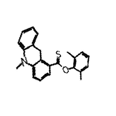 Cc1cccc(C)c1OC(=S)c1cccc2c1Cc1ccccc1N2C